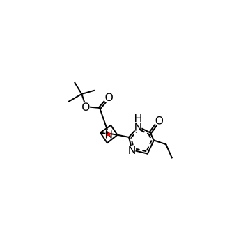 CCc1cnc(C23CC(C2)N(C(=O)OC(C)(C)C)C3)[nH]c1=O